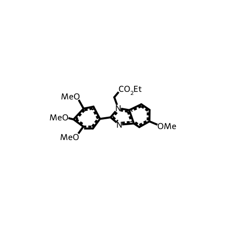 CCOC(=O)Cn1c(-c2cc(OC)c(OC)c(OC)c2)nc2cc(OC)ccc21